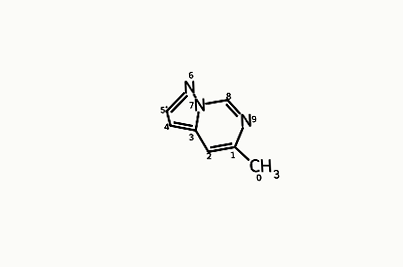 Cc1cc2c[c]nn2cn1